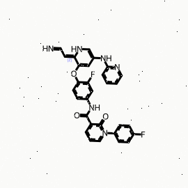 N=C/C=C1\NC=C(Nc2ccccn2)C=C1Oc1ccc(NC(=O)c2cccn(-c3ccc(F)cc3)c2=O)cc1F